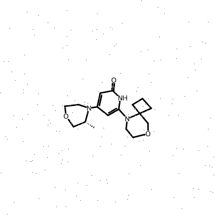 C[C@@H]1COCCN1c1cc(N2CCOCC23CCC3)[nH]c(=O)c1